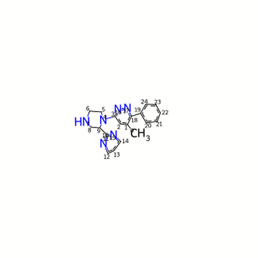 Cc1cc(N2CCNCC2c2ncccn2)nnc1-c1ccccc1